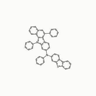 c1ccc(-c2cc3ccccc3c3c2c2ccc(N(c4ccccc4)c4ccc5c(c4)sc4ccccc45)cc2n3-c2ccccc2)cc1